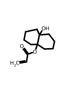 C=CC(=O)OC12CCCCC1(O)CCCC2